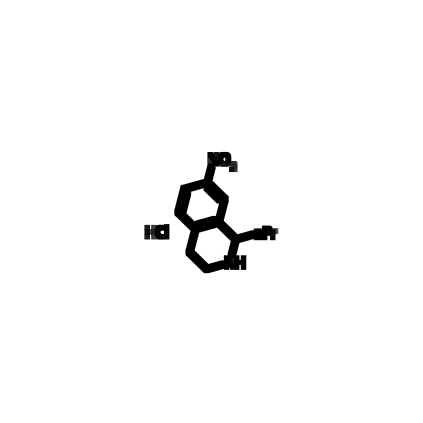 CCCC1NCCc2ccc([N+](=O)[O-])cc21.Cl